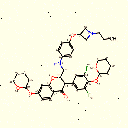 CCCN1CC(Oc2ccc(NCC3Oc4cc(OC5CCCCO5)ccc4C(=O)C3c3cc(F)c(OC4CCCCO4)c(F)c3)cc2)C1